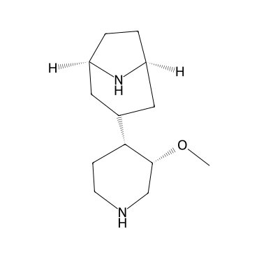 CO[C@@H]1CNCC[C@@H]1C1C[C@H]2CC[C@@H](C1)N2